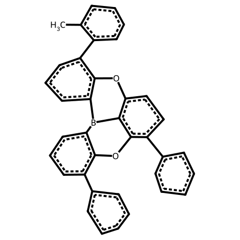 Cc1ccccc1-c1cccc2c1Oc1ccc(-c3ccccc3)c3c1B2c1cccc(-c2ccccc2)c1O3